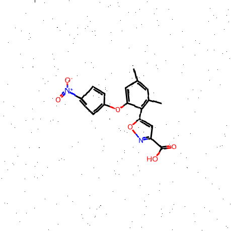 Cc1cc(C)c(-c2cc(C(=O)O)no2)c(Oc2ccc([N+](=O)[O-])cc2)c1